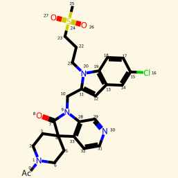 CC(=O)N1CCC2(CC1)C(=O)N(Cc1cc3cc(Cl)ccc3n1CCCS(C)(=O)=O)c1cnccc12